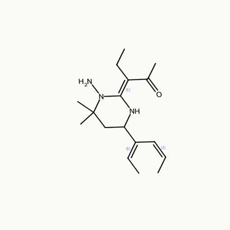 C/C=C\C(=C/C)C1CC(C)(C)N(N)/C(=C(\CC)C(C)=O)N1